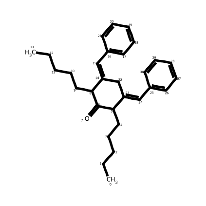 CCCCCC1C(=O)C(CCCCC)C(=Cc2ccccc2)CC1=Cc1ccccc1